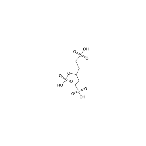 O=S(=O)(O)CCC(CCS(=O)(=O)O)OS(=O)(=O)O